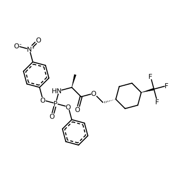 C[C@H](NP(=O)(Oc1ccccc1)Oc1ccc([N+](=O)[O-])cc1)C(=O)OC[C@H]1CC[C@H](C(F)(F)F)CC1